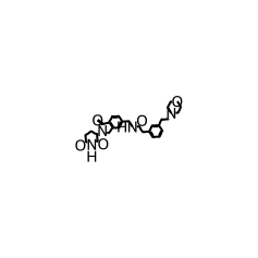 O=C(Cc1cccc(CCN2CCOCC2)c1)NCc1ccc2c(c1)CN(C1CCC(=O)NC1=O)C2=O